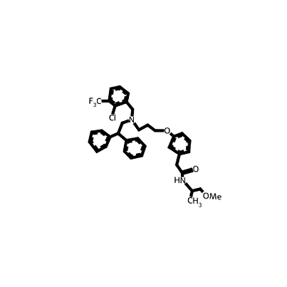 COCC(C)NC(=O)Cc1cccc(OCCCN(Cc2cccc(C(F)(F)F)c2Cl)CC(c2ccccc2)c2ccccc2)c1